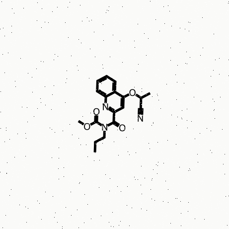 CCCN(C(=O)OC)C(=O)c1cc(OC(C)C#N)c2ccccc2n1